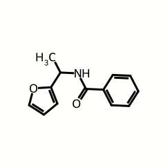 CC(NC(=O)c1ccccc1)c1ccco1